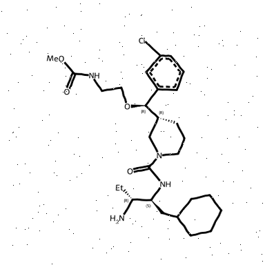 CC[C@@H](N)[C@H](CC1CCCCC1)NC(=O)N1CCC[C@@H]([C@@H](OCCNC(=O)OC)c2cccc(Cl)c2)C1